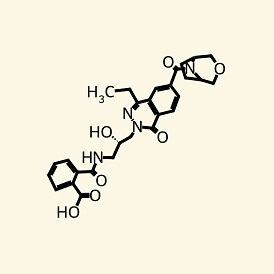 CCc1nn(C[C@@H](O)CNC(=O)c2ccccc2C(=O)O)c(=O)c2ccc(C(=O)N3C4CCC3COC4)cc12